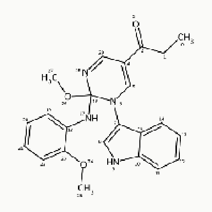 CCC(=O)C1=CN(c2c[nH]c3ccccc23)C(Nc2ccccc2OC)(OC)N=C1